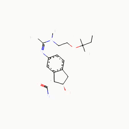 CCC(C)(C)OCCN(C)C(C)=Nc1ccc2c(c1)[C@@H](C(N)=O)[C@H](O)C2